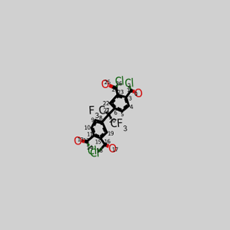 O=C(Cl)c1ccc(C(c2ccc(C(=O)Cl)c(C(=O)Cl)c2)(C(F)(F)F)C(F)(F)F)cc1C(=O)Cl